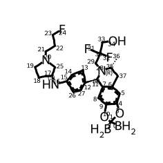 BC1(B)Oc2cc3c(cc2O1)[C@@H](c1ccc(N[C@H]2CCN(CCCF)C2)cc1)N(CC(F)(F)CO)[C@H](C)C3